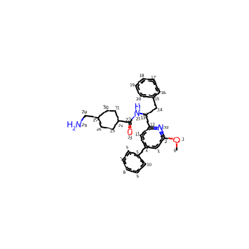 COc1cc(-c2ccccc2)cc(C(Cc2ccccc2)NC(=O)C2CCC(CN)CC2)n1